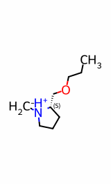 [CH2-][NH+]1CCC[C@H]1COCCC